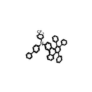 FC(F)(F)c1ccc(N(c2ccc(-c3ccccc3)cc2)c2ccc3c(c2)c2ccccc2c2c(-c4ccccc4)cc(-c4ccccc4)c(-c4ccccc4)c32)cc1